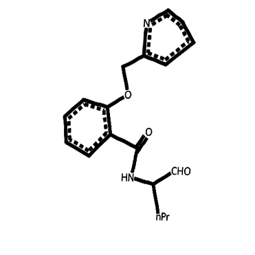 CCCC(C=O)NC(=O)c1ccccc1OCc1ccccn1